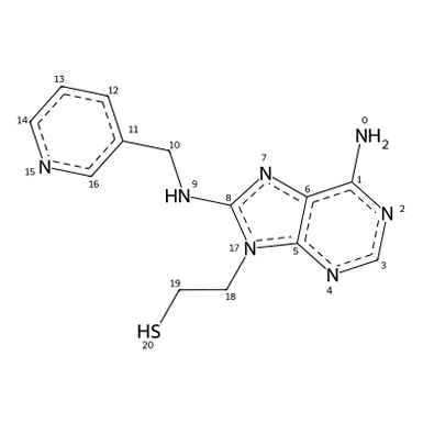 Nc1ncnc2c1nc(NCc1cccnc1)n2CCS